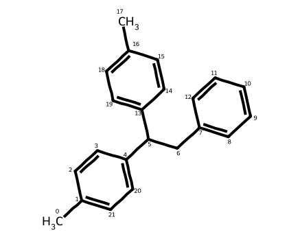 Cc1ccc(C(Cc2ccccc2)c2ccc(C)cc2)cc1